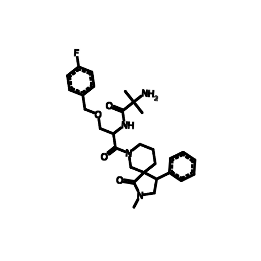 CN1CC(c2ccccc2)C2(CCCN(C(=O)C(COCc3ccc(F)cc3)NC(=O)C(C)(C)N)C2)C1=O